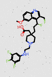 COc1ccc2ncc(CF)c([C@@H](F)CCC3(CC(=O)O)CCN(CCNc4cc(F)c(F)c(F)c4)CC3)c2c1